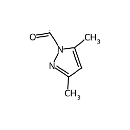 Cc1cc(C)n([C]=O)n1